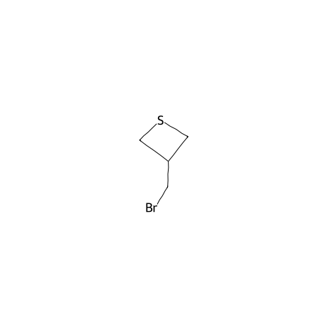 BrCC1CSC1